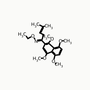 CCON=C(CC=C(C)C)c1cc(OC)c2c(OC)ccc(OC)c2c1OC